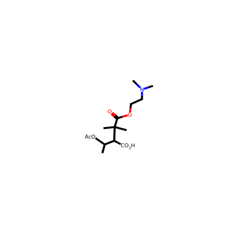 CC(=O)OC(C)C(C(=O)O)C(C)(C)C(=O)OCCN(C)C